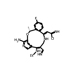 CCN/C1=C(\C=N)CN/C(=C\C(=N)Cl)c2ccc(F)cc2[C@@H](C)Oc2cc1cnc2N